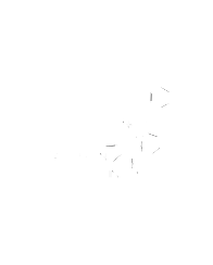 C[Si](C)(C)CCOCn1ccc2c1NCN=C2c1cccc(C2(C#N)Cc3ccccc3C2)n1